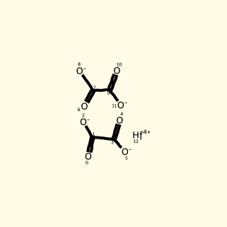 O=C([O-])C(=O)[O-].O=C([O-])C(=O)[O-].[Hf+4]